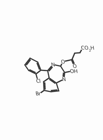 O=C(O)CCC(=O)OC1N=C(c2ccccc2Cl)c2cc(Br)ccc2N=C1O